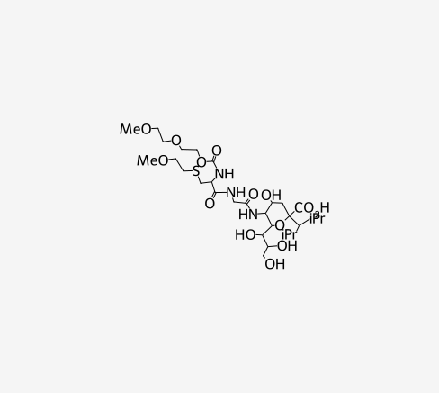 COCCOCCOC(=O)NC(CSCCOC)C(=O)NCC(=O)NC1C(O)CC(C(=O)O)(C(C(C)C)C(C)C)OC1C(O)C(O)CO